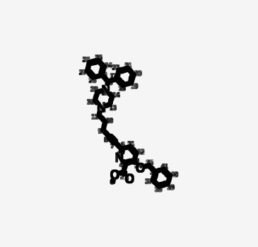 COC(=O)c1nc(C#CCCCN2CCN(C(c3ccccc3)c3ccccc3)CC2)ccc1OCc1ccccc1